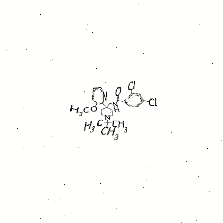 COc1cccnc1C1(CNC(=O)c2ccc(Cl)cc2Cl)CCN(C(C)(C)C)CC1